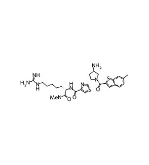 CNC(=O)[C@H](CCCCCNC(=N)N)NC(=O)c1csc([C@@H]2C[C@@H](N)CN2C(=O)c2cc3ccc(C)cc3s2)n1